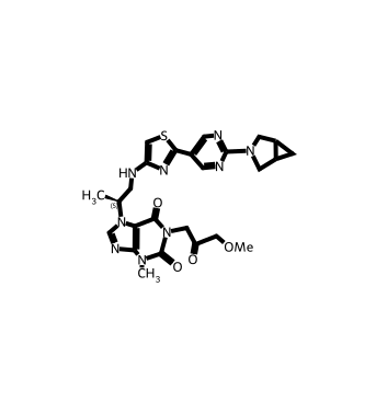 COCC(=O)Cn1c(=O)c2c(ncn2[C@@H](C)CNc2csc(-c3cnc(N4CC5CC5C4)nc3)n2)n(C)c1=O